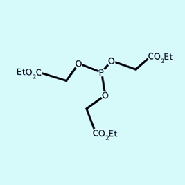 CCOC(=O)COP(OCC(=O)OCC)OCC(=O)OCC